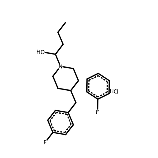 CCCC(O)N1CCC(Cc2ccc(F)cc2)CC1.Cl.Fc1ccccc1